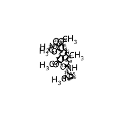 COc1ccc2c(c1)C(CC(=O)NCc1cccn1C)=C(C)/C2=C/c1cc(OC)c(C(N)=O)c(OC)c1